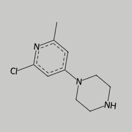 Cc1cc(N2CCNCC2)cc(Cl)n1